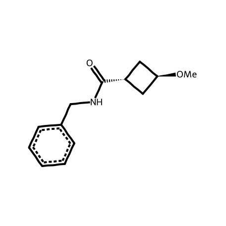 CO[C@H]1C[C@H](C(=O)NCc2ccccc2)C1